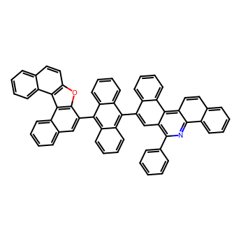 c1ccc(-c2nc3c4ccccc4ccc3c3c2cc(-c2c4ccccc4c(-c4cc5ccccc5c5c4oc4ccc6ccccc6c45)c4ccccc24)c2ccccc23)cc1